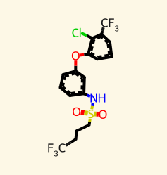 O=S(=O)(CCCC(F)(F)F)Nc1cccc(Oc2cccc(C(F)(F)F)c2Cl)c1